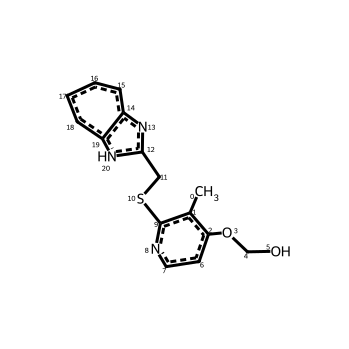 Cc1c(OCO)ccnc1SCc1nc2ccccc2[nH]1